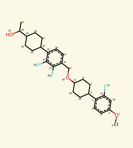 CCOc1ccc(C2CCC(OCc3ccc(C4CCC(C(C)O)CC4)c(F)c3F)CC2)c(F)c1